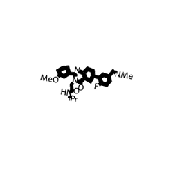 CNCc1ccc(F)c(-c2ccc3nc(-c4cccc(OC)c4)n(CC(=O)NC(C)C)c(=O)c3c2)c1